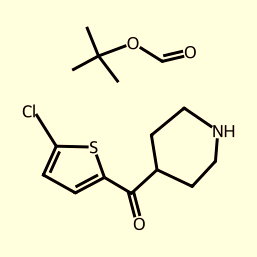 CC(C)(C)OC=O.O=C(c1ccc(Cl)s1)C1CCNCC1